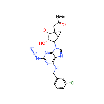 CNC(=O)CC12CC1[C@@H](n1cnc3c(NCc4cccc(Cl)c4)nc(N=[N+]=[N-])nc31)[C@H](O)[C@@H]2O